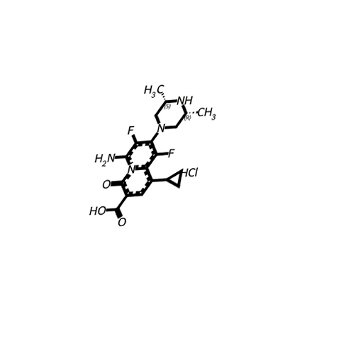 C[C@@H]1CN(c2c(F)c(N)n3c(=O)c(C(=O)O)cc(C4CC4)c3c2F)C[C@H](C)N1.Cl